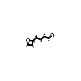 [O]CCCCC1CCO1